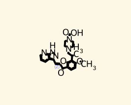 COc1ccc2c(c1C(C)CN1CCN(C(=O)O)CC1)O/C(=C\c1n[nH]c3ncccc13)C2=O